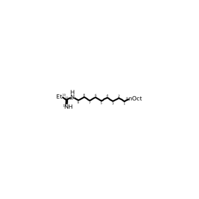 CCCCCCCCCCCCCCCCCNC(=N)CC